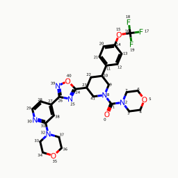 O=C(N1CCOCC1)N1CC(c2ccc(OC(F)(F)F)cc2)CC(c2nc(-c3ccnc(N4CCOCC4)c3)no2)C1